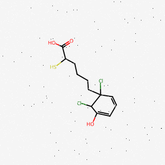 O=C(O)C(S)CCCCC1(Cl)C=CC=C(O)C1Cl